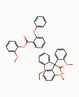 CCOc1ccccc1C(C(=O)O)(c1ccccc1OC)c1ccccc1OC.COc1ccccc1OC(=O)c1ccccc1Oc1ccccc1